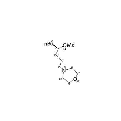 CCCC[C@H](CCCN1CCOCC1)OC